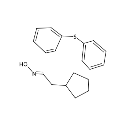 ON=CCC1CCCC1.c1ccc(Sc2ccccc2)cc1